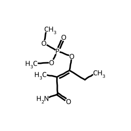 CCC(OP(=O)(OC)OC)=C(C)C(N)=O